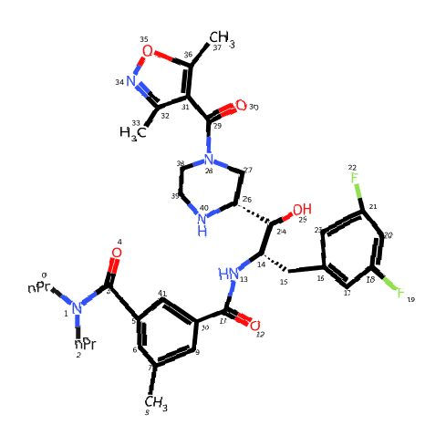 CCCN(CCC)C(=O)c1cc(C)cc(C(=O)N[C@@H](Cc2cc(F)cc(F)c2)C(O)[C@H]2CN(C(=O)c3c(C)noc3C)CCN2)c1